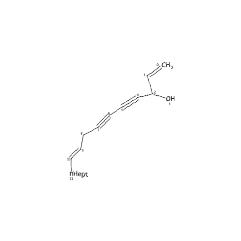 C=CC(O)C#CC#CCC=CCCCCCCC